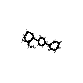 Nc1ncccc1-c1ccc(-c2ccccc2)cc1